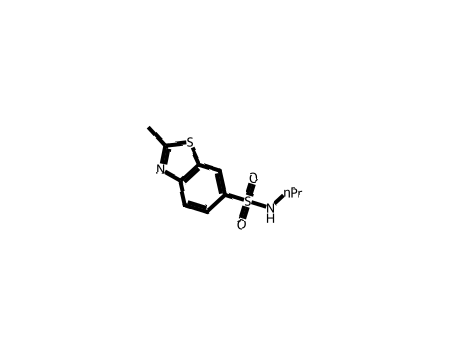 CCCNS(=O)(=O)c1ccc2nc(C)sc2c1